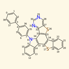 c1ccc(-c2ccc(-n3c4ccccc4c4c5sc6ccccc6c5c5sc6cncnc6c5c43)cc2)cc1